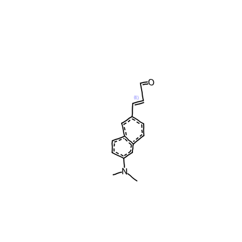 CN(C)c1ccc2cc(/C=C/C=O)ccc2c1